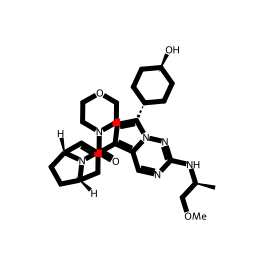 COC[C@H](C)Nc1ncc2c(C3=C[C@H]4CC[C@@H](C3)N4C(=O)N3CCOCC3)cc([C@H]3CC[C@H](O)CC3)n2n1